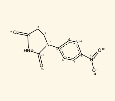 O=C1CCN(c2ccc([N+](=O)[O-])nc2)C(=O)N1